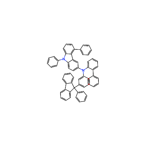 c1ccc(-c2ccccc2N(c2cccc(C3(c4ccccc4)c4ccccc4-c4ccccc43)c2)c2ccc3c(c2)c2c(-c4ccccc4)cccc2n3-c2ccccc2)cc1